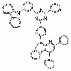 c1ccc(-c2cc(-c3ccccc3)c3c(n2)c(-c2ccc(-c4nc(-c5ccccc5)nc(-c5cccc(-n6c7ccccc7c7ccccc76)c5)n4)cc2)cc2ccccc23)cc1